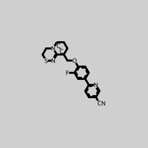 N#Cc1ccc(-c2ccc(OCC34CCC(CC3)N3CCSN=C34)c(F)c2)nc1